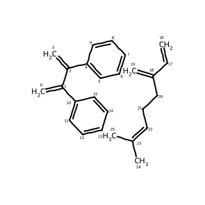 C=C(C(=C)c1ccccc1)c1ccccc1.C=CC(=C)CCC=C(C)C